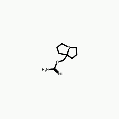 N=C(N)OCC12CCCN1CCC2